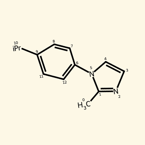 Cc1nccn1-c1ccc(C(C)C)cc1